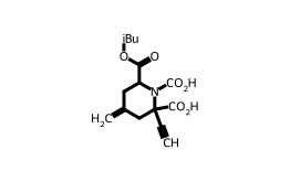 C#CC1(C(=O)O)CC(=C)CC(C(=O)OC(C)CC)N1C(=O)O